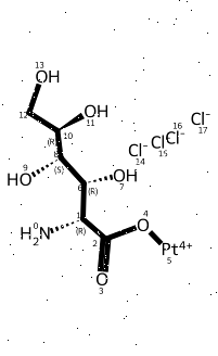 N[C@@H](C(=O)[O][Pt+4])[C@@H](O)[C@H](O)[C@H](O)CO.[Cl-].[Cl-].[Cl-].[Cl-]